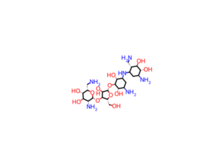 NC[C@@H]1O[C@H](O[C@H]2[C@@H](O)[C@H](O[C@@H]3[C@@H](O)[C@H](N)C[C@H](NC4C[C@H](N)[C@@H](O)[C@H](O)[C@H]4CN)[C@H]3O)O[C@@H]2CO)[C@H](N)[C@@H](O)[C@@H]1O